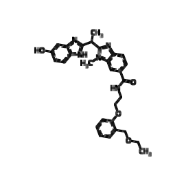 CCOCc1ccccc1OCCNC(=O)c1ccc2nc(C(C)c3nc4cc(O)ccc4[nH]3)n(C)c2c1